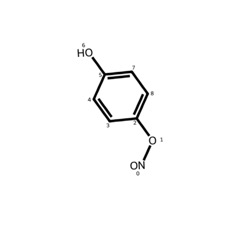 O=NOc1ccc(O)cc1